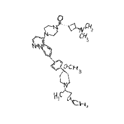 C=[N+](C)[C@H]1C[C@H](C(=O)N2CCN(c3ccnn4cc(-c5ccc(C6(OC)CCN([C@H](C)COC)CC6)cc5)cc34)CC2)C1